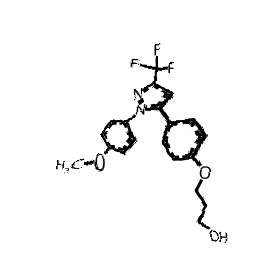 COc1ccc(-n2nc(C(F)(F)F)cc2-c2ccc(OCCCO)cc2)cc1